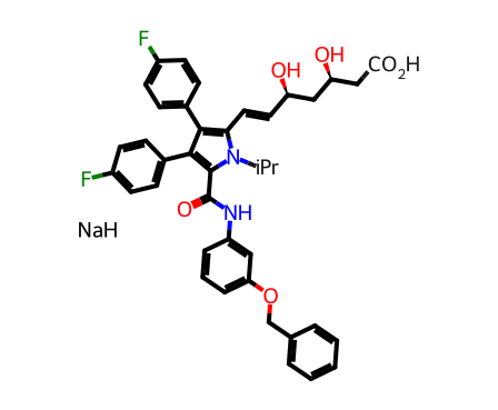 CC(C)n1c(C=C[C@@H](O)C[C@@H](O)CC(=O)O)c(-c2ccc(F)cc2)c(-c2ccc(F)cc2)c1C(=O)Nc1cccc(OCc2ccccc2)c1.[NaH]